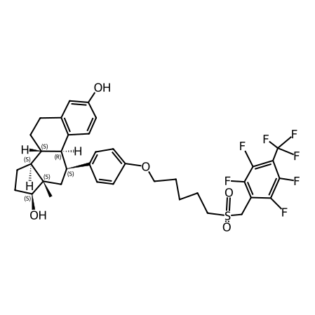 C[C@]12C[C@H](c3ccc(OCCCCCS(=O)(=O)Cc4c(F)c(F)c(C(F)(F)F)c(F)c4F)cc3)[C@@H]3c4ccc(O)cc4CC[C@H]3[C@@H]1CC[C@@H]2O